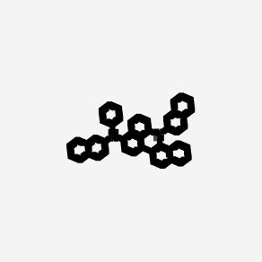 c1ccc(N(c2ccc(-c3ccc4ccccc4c3N(c3ccccc3)c3ccc4ccccc4c3)cc2)c2ccc3ccccc3c2)cc1